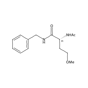 COCC[C@@H](NC(C)=O)C(=O)NCc1ccccc1